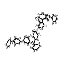 c1ccc(-c2ccc(-c3ccc(N(c4ccccc4)c4ccc(-c5ccc6c(c5)oc5ccc7oc(-c8ccccc8)nc7c56)cc4)cc3)cc2)cc1